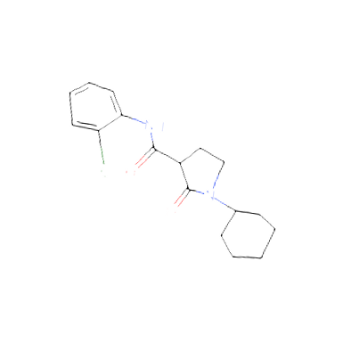 O=C(Nc1ccccc1Cl)C1CCN(C2CCCCC2)C1=O